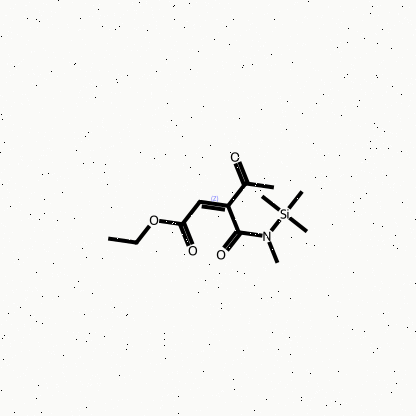 CCOC(=O)/C=C(/C(C)=O)C(=O)N(C)[Si](C)(C)C